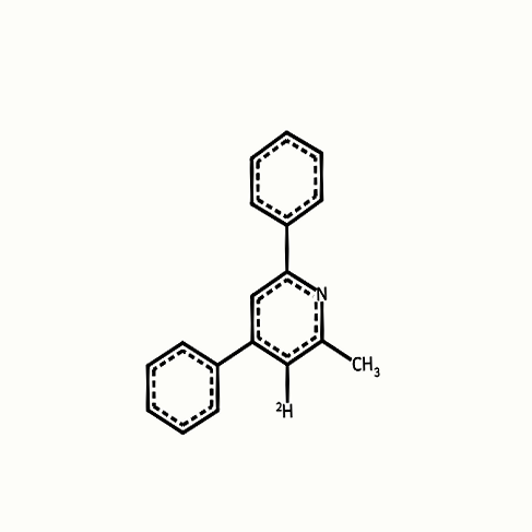 [2H]c1c(-c2ccccc2)cc(-c2ccccc2)nc1C